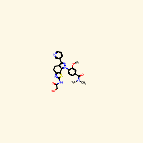 CC(C)Oc1cc(C(=O)N(C)C)ccc1-n1nc(-c2cccnc2)c2c1-c1sc(NC(=O)CO)nc1CC2